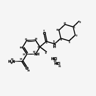 CC1CCC(NC(=O)C2(C)C=CC=C(C(N)=O)N2)CC1.Cl.Cl